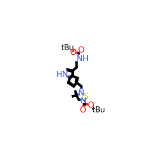 CC(C)(C)OC(=O)NCCc1c[nH]c2ccc(CN3SN(C(=O)OC(C)(C)C)CC3(C)C)cc12